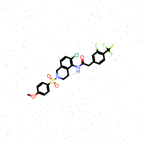 COc1ccc(S(=O)(=O)N2CCc3c(ccc(Cl)c3NC(=O)Cc3ccc(C(F)(F)F)c(F)c3)C2)cc1